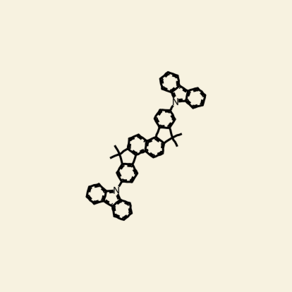 CC1(C)c2cc(-n3c4ccccc4c4ccccc43)ccc2-c2c1ccc1c3c(ccc21)C(C)(C)c1cc(-n2c4ccccc4c4ccccc42)ccc1-3